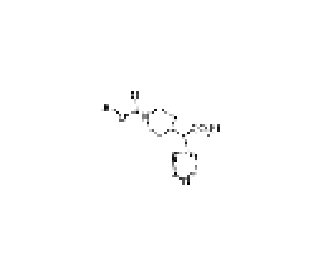 CCOC(=O)C(c1ccncc1)C1CCN(C(=O)OC(C)(C)C)CC1